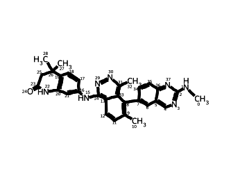 CNc1ncc2cc(-c3c(C)ccc4c(Nc5ccc6c(c5)NC(=O)CC6(C)C)nnc(C)c34)ccc2n1